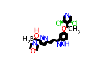 BC(O)(c1ccc(/C=C/c2n[nH]c3ccc(OC(C)c4c(Cl)cncc4Cl)cc23)nn1)N1CCOCC1